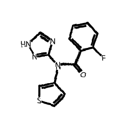 O=C(c1ccccc1F)N(c1ccsc1)c1nc[nH]n1